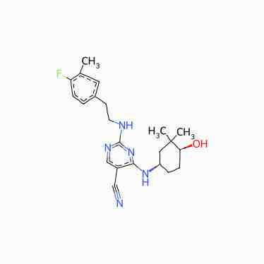 Cc1cc(CCNc2ncc(C#N)c(N[C@@H]3CC[C@H](O)C(C)(C)C3)n2)ccc1F